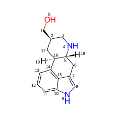 OC[C@H]1CN[C@@H]2Cc3c[nH]c4cccc(c34)[C@H]2C1